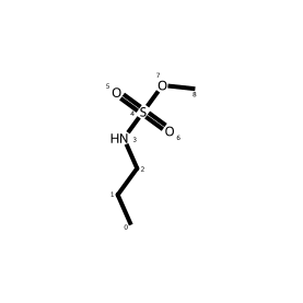 CCCNS(=O)(=O)OC